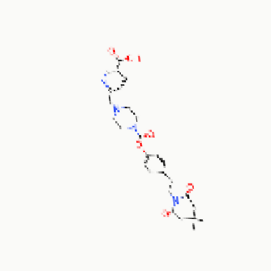 CC1(C)CC(=O)N(CCc2ccc(OC(=O)N3CCN(Cc4ccc(C(=O)O)cn4)CC3)cc2)C(=O)C1